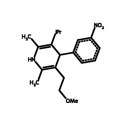 COCCC1=C(C)NC(C)=C(C(C)C)C1c1cccc([N+](=O)[O-])c1